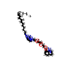 CCCCCCCCCCCC[n+]1ccn(CCOCCOCCOc2cccc3cccnc23)c1